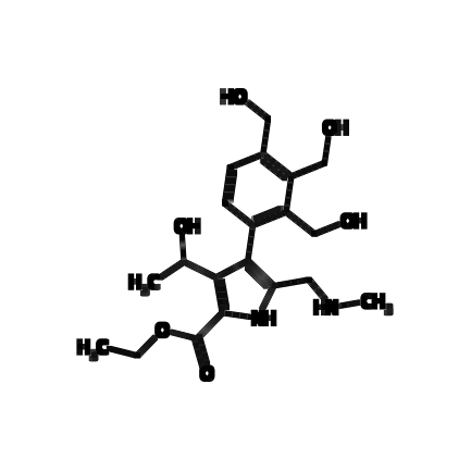 CCOC(=O)c1[nH]c(CNC)c(-c2ccc(CO)c(CO)c2CO)c1C(C)O